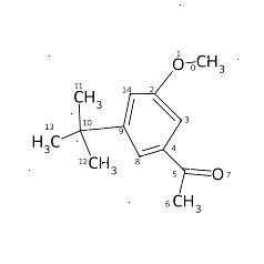 COc1cc(C(C)=O)cc(C(C)(C)C)c1